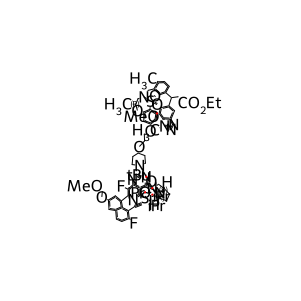 CCOC(=O)CC(c1ccc(C)c(CN2C[C@@H](C)Oc3cc(OCCOC4CCN(c5nc(N6C[C@H]7CC[C@@H](C6)N7C(=O)OC(C)(C)C)c6cnc(-c7cc(OCOC)cc8ccc(F)c(C#C[Si](C(C)C)(C(C)C)C(C)C)c78)c(F)c6n5)CC4)ccc3S2(=O)=O)c1)c1cc(OC)c2c(c1)nnn2C